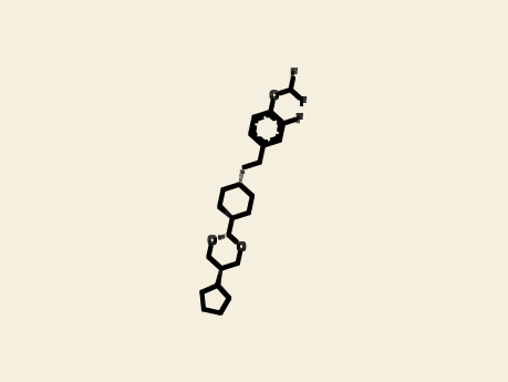 Fc1cc(CC[C@H]2CC[C@H]([C@H]3OC[C@H](C4CCCC4)CO3)CC2)ccc1OC(F)F